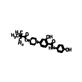 CC(C)(C)C(=O)ON1CCN(c2ccc(C(=O)Nc3ccc(O)cc3)c(O)c2)CC1